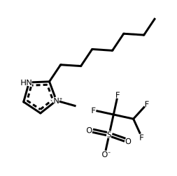 CCCCCCCc1[nH]cc[n+]1C.O=S(=O)([O-])C(F)(F)C(F)F